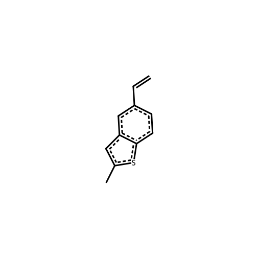 C=Cc1ccc2sc(C)cc2c1